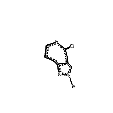 CCn1cc2c(Cl)nccc2n1